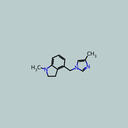 Cc1cn(Cc2cccc3c2CCN3C)cn1